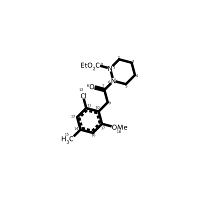 CCOC(=O)N1CCCCN1C(=O)Cc1c(Cl)cc(C)cc1OC